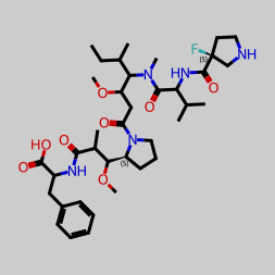 CCC(C)C(C(CC(=O)N1CCC[C@H]1C(OC)C(C)C(=O)NC(Cc1ccccc1)C(=O)O)OC)N(C)C(=O)C(NC(=O)[C@]1(F)CCNC1)C(C)C